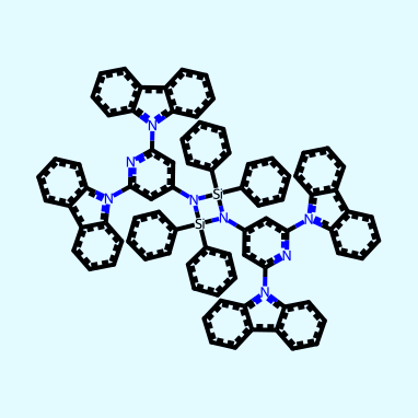 c1ccc([Si]2(c3ccccc3)N(c3cc(-n4c5ccccc5c5ccccc54)nc(-n4c5ccccc5c5ccccc54)c3)[Si](c3ccccc3)(c3ccccc3)N2c2cc(-n3c4ccccc4c4ccccc43)nc(-n3c4ccccc4c4ccccc43)c2)cc1